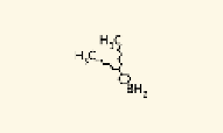 BC1CCC(C(CCCCCC)CCCCCC)CC1